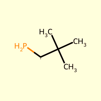 CC(C)(C)[CH]P